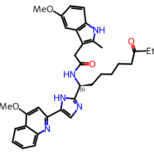 CCC(=O)CCCCC[C@H](NC(=O)Cc1c(C)[nH]c2ccc(OC)cc12)c1ncc(-c2cc(OC)c3ccccc3n2)[nH]1